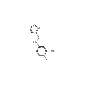 Cc1ccc(NCc2ccc[nH]2)cc1O